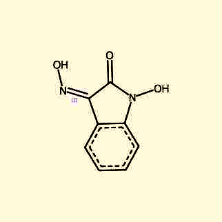 O=C1/C(=N\O)c2ccccc2N1O